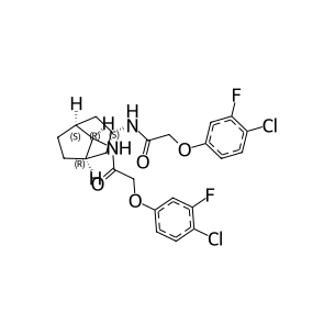 O=C(COc1ccc(Cl)c(F)c1)N[C@@H]1C[C@H]2CC[C@@H](C1)[C@H]2NC(=O)COc1ccc(Cl)c(F)c1